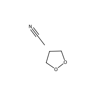 C1COOC1.CC#N